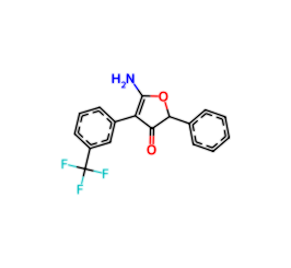 NC1=C(c2cccc(C(F)(F)F)c2)C(=O)C(c2ccccc2)O1